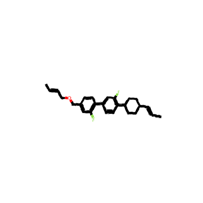 CC=CCOCc1ccc(-c2ccc(C3CCC(C=CC)CC3)c(F)c2)c(F)c1